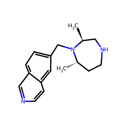 C[C@H]1CCNC[C@H](C)N1Cc1ccc2cnccc2c1